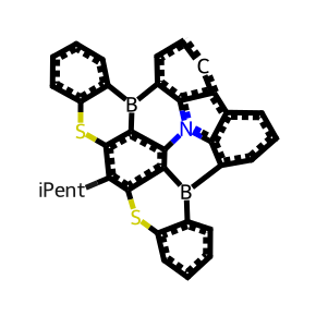 CCCC(C)c1c2c3c4c5c1Sc1ccccc1B5c1cccc5c6cccc(c6n-4c15)B3c1ccccc1S2